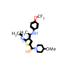 C=C/N=C1/SC(C(=P)N2CCC(OC)CC2)=C/C1=C(/C)Nc1ccc(OC(F)(F)F)cc1